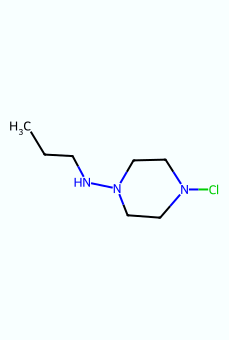 CCCNN1CCN(Cl)CC1